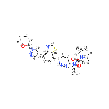 CN(c1ccc(-c2ccc(-c3cnn(C4CCCCO4)c3)c3ncsc23)nn1)C1CC2(C)CCC(C)(C1)N2C(=O)OC(C)(C)C